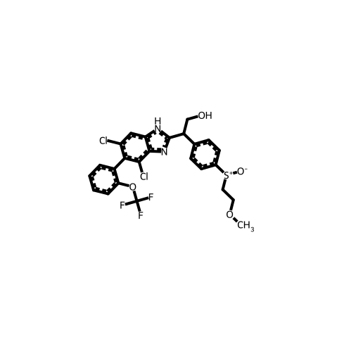 COCC[S+]([O-])c1ccc(C(CO)c2nc3c(Cl)c(-c4ccccc4OC(F)(F)F)c(Cl)cc3[nH]2)cc1